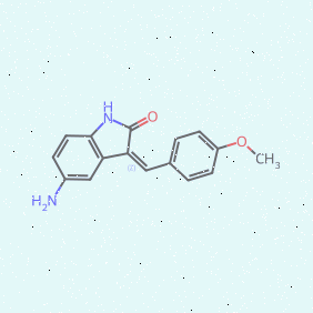 COc1ccc(/C=C2\C(=O)Nc3ccc(N)cc32)cc1